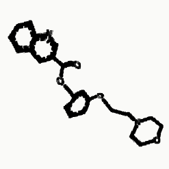 O=C(Oc1cccc(OCCN2CCOCC2)c1)c1cnc2ccccc2c1